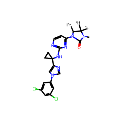 [2H]C1([2H])C(C(C)C)N(c2ccnc(NC3(c4cn(-c5cc(Cl)cc(Cl)c5)cn4)CC3)n2)C(=O)N1C